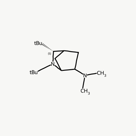 CN(C)C1CC2CC1N(C(C)(C)C)[C@@H]2C(C)(C)C